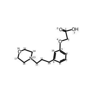 O=C(O)COc1cccc(CCCN2CCOCC2)c1